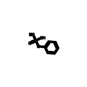 O=P(O)(O)Oc1c[c]ccc1